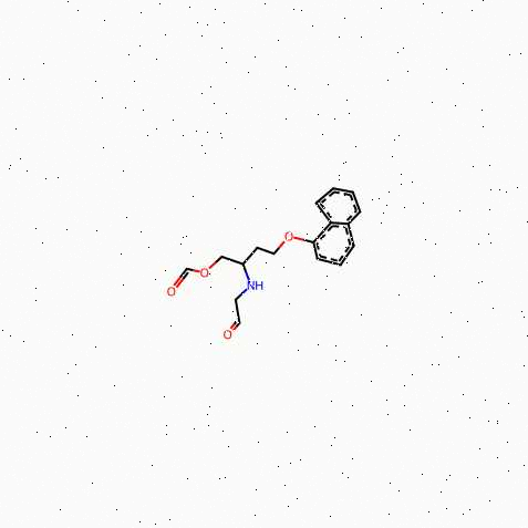 O=CCNC(CCOc1cccc2ccccc12)COC=O